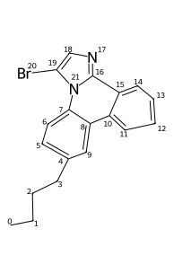 CCCCc1ccc2c(c1)c1ccccc1c1ncc(Br)n21